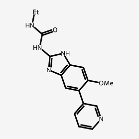 CCNC(=O)Nc1nc2cc(-c3cccnc3)c(OC)cc2[nH]1